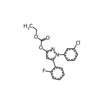 CCOC(=O)Oc1cc(-c2ccccc2F)n(-c2cccc(Cl)c2)n1